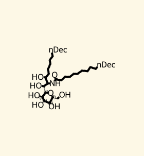 CCCCCCCCCCCCCCCCCCCC(=O)NC(C(O)CCCCCCCCCCCCCCC)C(O)[C@@H]1O[C@H](CO)[C@H](O)[C@H](O)[C@H]1O